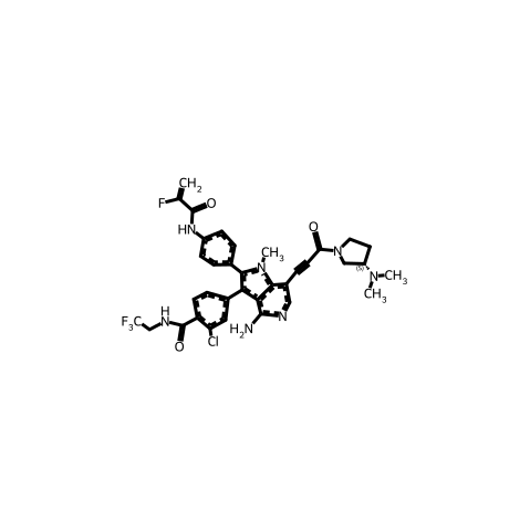 C=C(F)C(=O)Nc1ccc(-c2c(-c3ccc(C(=O)NCC(F)(F)F)c(Cl)c3)c3c(N)ncc(C#CC(=O)N4CC[C@H](N(C)C)C4)c3n2C)cc1